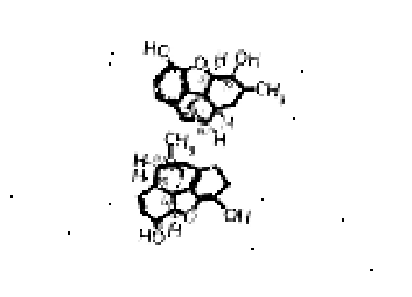 CC1C[C@H]2[C@H]3Cc4ccc(O)c5c4[C@@]2(CCN3)[C@@H](O5)[C@H]1O.CN1CC[C@]23C4=C5CCC(O)=C4O[C@H]2[C@@H](O)C=C[C@H]3[C@H]1C5